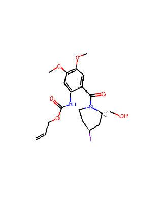 C=CCOC(=O)Nc1cc(OC)c(OC)cc1C(=O)N1CCC(I)C[C@H]1CO